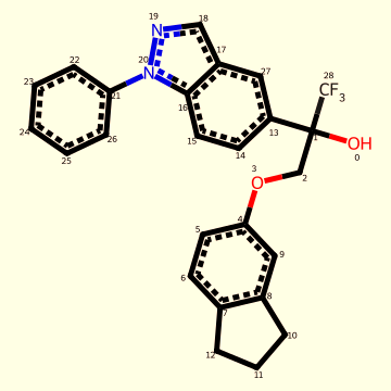 OC(COc1ccc2c(c1)CCC2)(c1ccc2c(cnn2-c2ccccc2)c1)C(F)(F)F